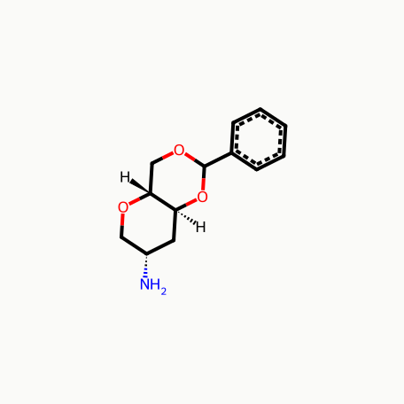 N[C@@H]1CO[C@@H]2COC(c3ccccc3)O[C@H]2C1